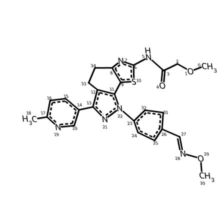 COCC(=O)Nc1nc2c(s1)-c1c(c(-c3ccc(C)nc3)nn1-c1ccc(C=NOC)cc1)CC2